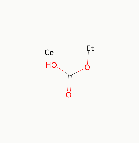 CCOC(=O)O.[Ce]